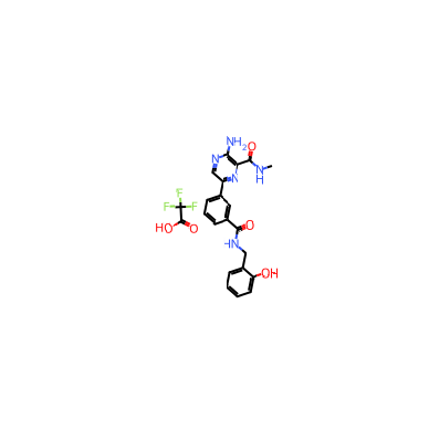 CNC(=O)c1nc(-c2cccc(C(=O)NCc3ccccc3O)c2)cnc1N.O=C(O)C(F)(F)F